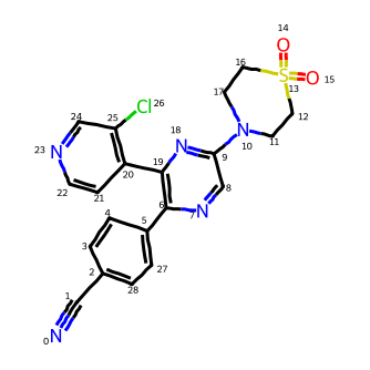 N#Cc1ccc(-c2ncc(N3CCS(=O)(=O)CC3)nc2-c2ccncc2Cl)cc1